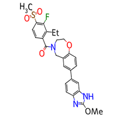 CCc1c(C(=O)N2CCOc3ccc(-c4ccc5nc(OC)[nH]c5c4)cc3C2)ccc(S(C)(=O)=O)c1F